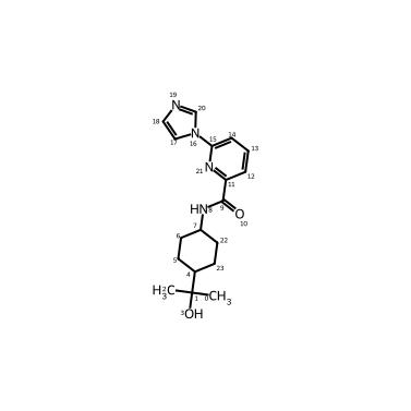 CC(C)(O)C1CCC(NC(=O)c2cccc(-n3ccnc3)n2)CC1